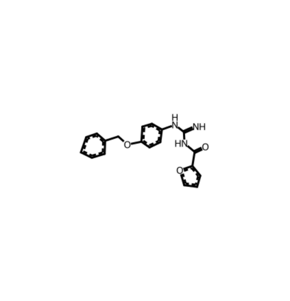 N=C(NC(=O)c1ccco1)Nc1ccc(OCc2ccccc2)cc1